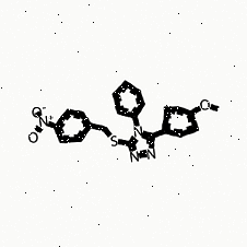 COc1ccc(-c2nnc(SCc3ccc([N+](=O)[O-])cc3)n2-c2ccccc2)cc1